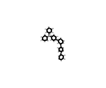 c1ccc(-c2ccc(-c3cccc(-c4ccc(N(c5ccccc5)c5ccccc5)cc4)c3)cc2)cc1